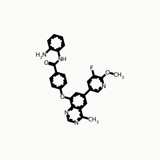 COc1ncc(-c2cc(Oc3ccc(C(=O)Nc4ccccc4N)cc3)c3ncnc(C)c3c2)cc1F